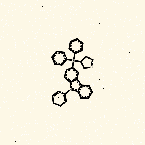 C1=CC(n2c3ccccc3c3cc([Si](c4ccccc4)(c4ccccc4)C4CCOC4)ccc32)=CCC1